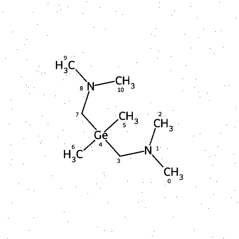 CN(C)[CH2][Ge]([CH3])([CH3])[CH2]N(C)C